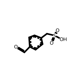 O=Cc1ccc(CS(=O)(=O)O)cc1